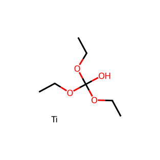 CCOC(O)(OCC)OCC.[Ti]